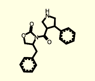 O=C1OCC(Cc2ccccc2)N1C(=O)C1CNCC1c1ccccc1